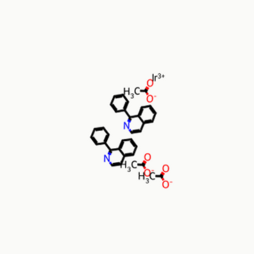 CC(=O)[O-].CC(=O)[O-].CC(=O)[O-].[Ir+3].c1ccc(-c2nccc3ccccc23)cc1.c1ccc(-c2nccc3ccccc23)cc1